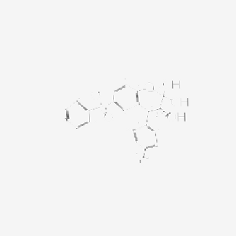 CC1(C)Oc2ccc(S(=O)(=O)c3ccccc3)cc2C(c2ccc(Cl)cc2)[C@@H]1O